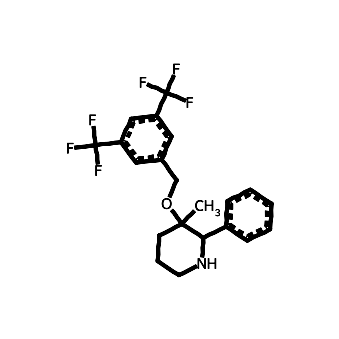 CC1(OCc2cc(C(F)(F)F)cc(C(F)(F)F)c2)CCCNC1c1ccccc1